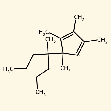 [CH2]C(CCC)(CCC)C1(C)[C]=C(C)C(C)=C1C